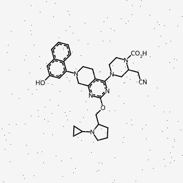 N#CCC1CN(c2nc(OCC3CCCN3C3CC3)nc3c2CCN(c2cc(O)cc4ccccc24)C3)CCN1C(=O)O